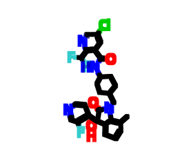 Cc1cccc2c1N(CC1CCC(NC(=O)c3cc(Cl)cnc3C(F)F)CC1)C(=O)C2(O)c1ccncc1F